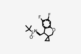 CC(C)(C)[S@+]([O-])/N=C/C1c2cc(F)c(F)cc2OCC12CC2